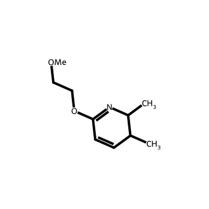 COCCOC1=NC(C)C(C)C=C1